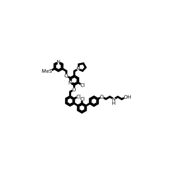 CSc1cncc(COc2nc(OCc3cccc(-c4cccc(-c5ccc(OCCNCCO)cc5)c4Cl)c3Cl)c(Cl)cc2CN2CCCC2)c1